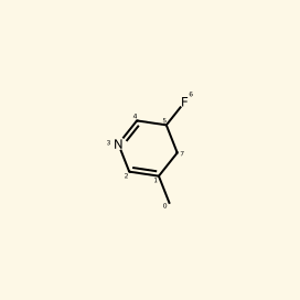 CC1=CN=CC(F)C1